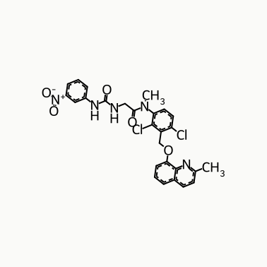 Cc1ccc2cccc(OCc3c(Cl)ccc(N(C)C(=O)CNC(=O)Nc4cccc([N+](=O)[O-])c4)c3Cl)c2n1